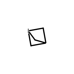 C1C2CI1C2